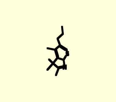 CCCC1=CSC2N=C(C)C(C)(C)C2=C1C